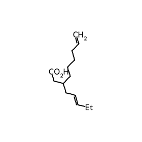 C=CCCCCC(C/C=C/CC)CC(=O)O